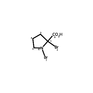 O=C(O)C1(Br)CCCN1Br